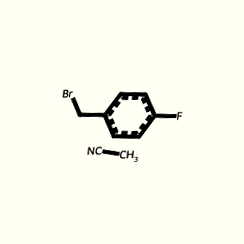 CC#N.Fc1ccc(CBr)cc1